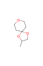 CC1COC2(CCOCC2)O1